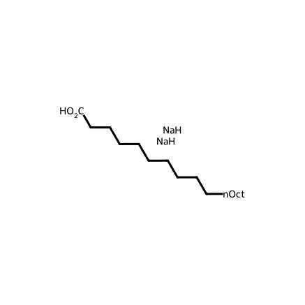 CCCCCCCCCCCCCCCCCC(=O)O.[NaH].[NaH]